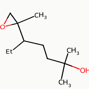 CCC(CCC(C)(C)O)C1(C)CO1